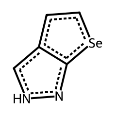 c1cc2c[nH]nc2[se]1